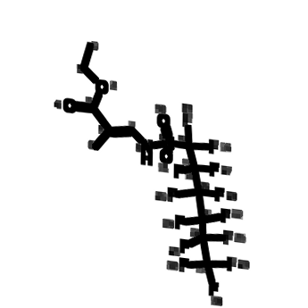 CCOC(=O)C(C)=CNS(=O)(=O)C(F)(F)C(F)(F)C(F)(F)C(F)(F)C(F)(F)C(F)(F)F